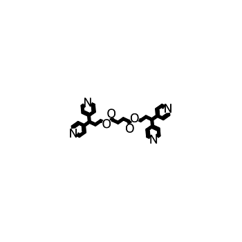 O=C(CCC(=O)OCCC(c1ccncc1)c1ccncc1)OCCC(c1ccncc1)c1ccncc1